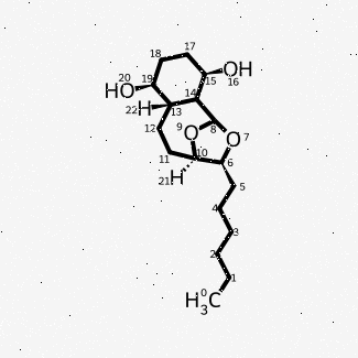 CCCCCC[C@@H]1OC2O[C@@H]1CC[C@H]1C2[C@H](O)CC[C@@H]1O